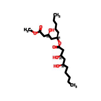 CCCCC[C@@H](O)C[C@@H](O)CC(=O)O[C@H](CCCCC)C[C@@H](O)CC(=O)OC